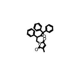 CC1=CC(=O)N(CC(c2ccccc2)C2OC2(c2ccccc2)c2ccccc2)C1=O